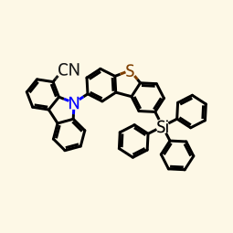 N#Cc1cccc2c3ccccc3n(-c3ccc4sc5ccc([Si](c6ccccc6)(c6ccccc6)c6ccccc6)cc5c4c3)c12